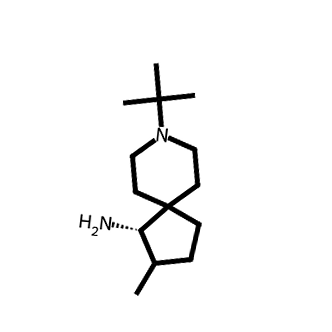 CC1CCC2(CCN(C(C)(C)C)CC2)[C@H]1N